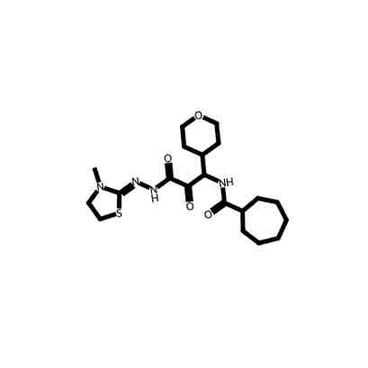 CN1CCSC1=NNC(=O)C(=O)C(NC(=O)C1CCCCCC1)C1CCOCC1